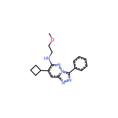 COCCNc1nn2c(-c3ccccc3)nnc2cc1C1CCC1